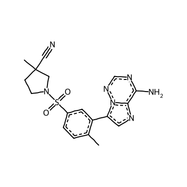 Cc1ccc(S(=O)(=O)N2CCC(C)(C#N)C2)cc1-c1cnc2c(N)ncnn12